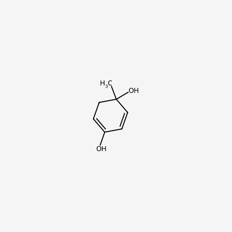 CC1(O)C=CC(O)=CC1